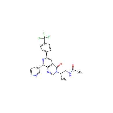 CC(=O)NCC(C)n1cnc2c(-c3cccnc3)nc(-c3ccc(C(F)(F)F)cc3)cc2c1=O